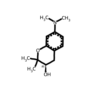 CN(C)c1ccc2c(c1)OC(C)(C)[C@H](O)C2